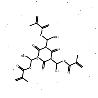 C=C(C)C(=O)OC(CCCC)n1c(=O)n(C(CCCC)OC(=O)C(=C)C)c(=O)n(C(CCCC)OC(=O)C(=C)C)c1=O